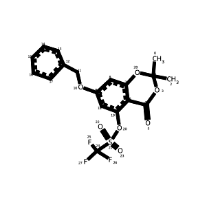 CC1(C)OC(=O)c2c(cc(OCc3ccccc3)cc2OS(=O)(=O)C(F)(F)F)O1